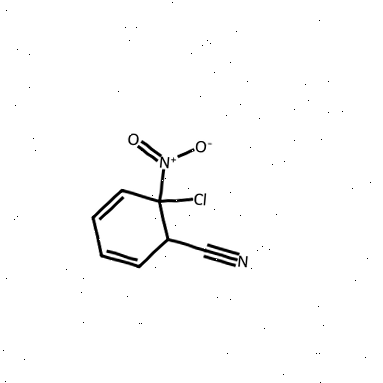 N#CC1C=CC=CC1(Cl)[N+](=O)[O-]